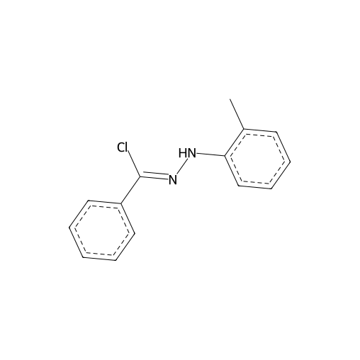 Cc1ccccc1NN=C(Cl)c1ccccc1